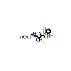 CCCCCCCC/C=C\CCC(C)CC(C)C1CSNc2ccccc2N1